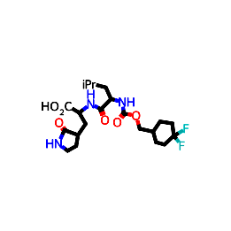 CC(C)CC(NC(=O)OCC1CCC(F)(F)CC1)C(=O)NC(CC1CCNC1=O)C(=O)O